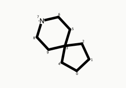 C1CCC2(C1)CC[N]CC2